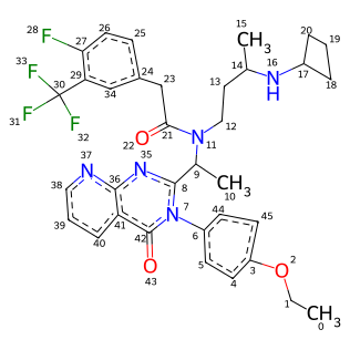 CCOc1ccc(-n2c(C(C)N(CCC(C)NC3CCC3)C(=O)Cc3ccc(F)c(C(F)(F)F)c3)nc3ncccc3c2=O)cc1